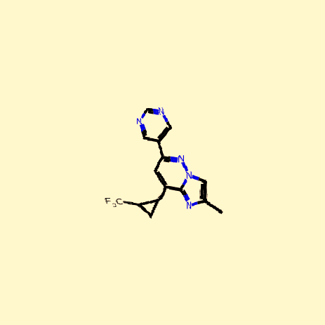 Cc1cn2nc(-c3cncnc3)cc(C3CC3C(F)(F)F)c2n1